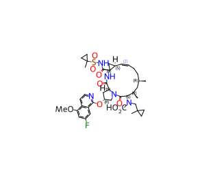 COc1cc(F)cc2c(O[C@@H]3C[C@H]4C(=O)N[C@]5(C(=O)NS(=O)(=O)C6(C)CC6)C[C@H]5/C=C\CC[C@@H](C)C[C@@H](C)[C@H](N(CC5(C)CC5)C(=O)O)C(=O)N4C3)nccc12